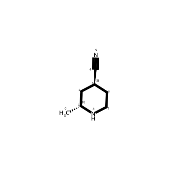 C[C@@H]1C[C@@H](C#N)CCN1